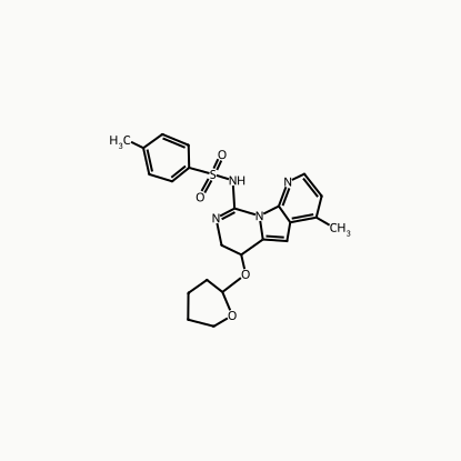 Cc1ccc(S(=O)(=O)NC2=NCC(OC3CCCCO3)c3cc4c(C)ccnc4n32)cc1